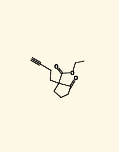 C#CCCC1(C(=O)OCC)CCCC1=O